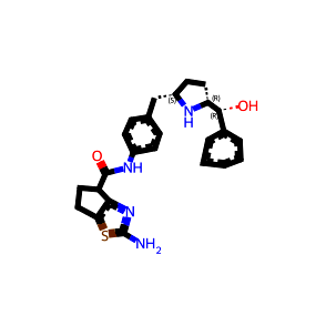 Nc1nc2c(s1)CCC2C(=O)Nc1ccc(C[C@@H]2CC[C@H]([C@H](O)c3ccccc3)N2)cc1